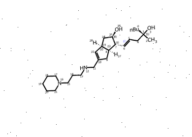 CCCC[C@](C)(O)C/C=C/[C@@H]1[C@H]2CC(CNCCCN3CCCCC3)=C[C@H]2C[C@H]1O